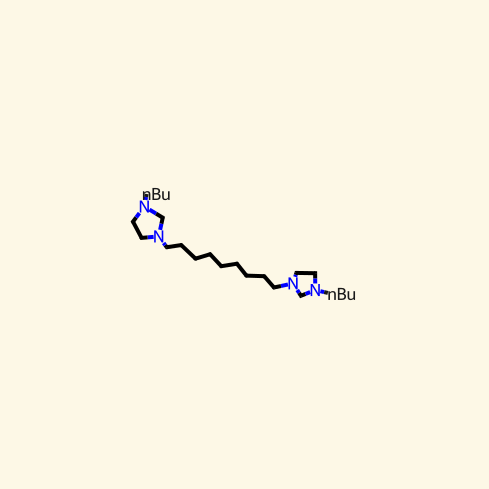 CCCCN1CCN(CCCCCCCCCN2CCN(CCCC)C2)C1